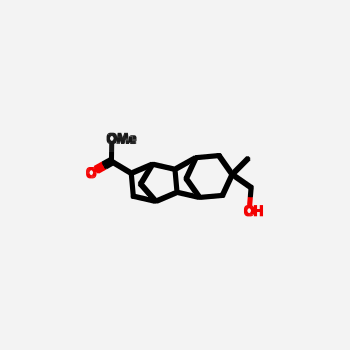 COC(=O)C1CC2CC1C1C3CC(CC(C)(CO)C3)C21